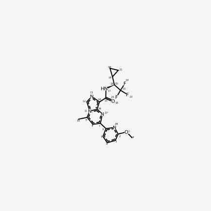 COc1cccc(-c2cc(C)n3cnc(C(=O)N[C@@H](C4CC4)C(F)(F)F)c3n2)n1